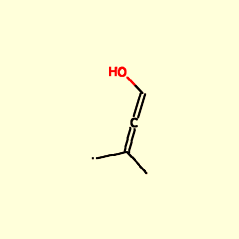 [CH2]C(C)=C=CO